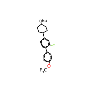 CCCCC1CCC(c2ccc(-c3ccc(OC(F)(F)F)cc3)c(F)c2)CC1